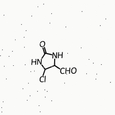 O=CC1NC(=O)NC1Cl